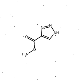 NOC(=O)c1c[nH]nn1